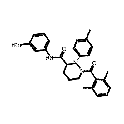 Cc1ccc([C@H]2C(C(=O)Nc3cccc(C(C)(C)C)c3)CCCN2C(=O)c2c(C)cccc2C)cc1